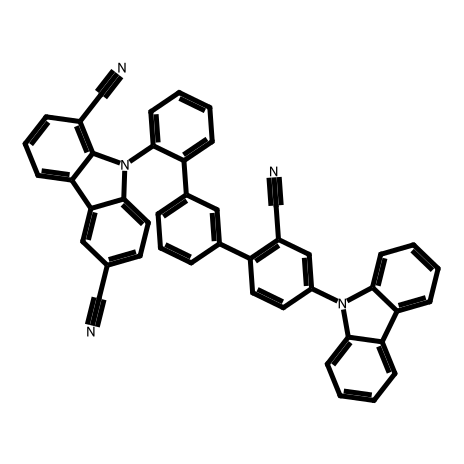 N#Cc1ccc2c(c1)c1cccc(C#N)c1n2-c1ccccc1-c1cccc(-c2ccc(-n3c4ccccc4c4ccccc43)cc2C#N)c1